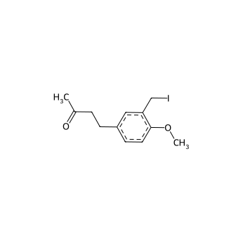 COc1ccc(CCC(C)=O)cc1CI